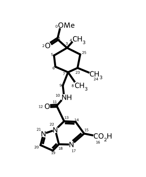 COC(=O)C1(C)CCC(C)(CNC(=O)c2cc(C(=O)O)nc3ccnn23)C(C)C1